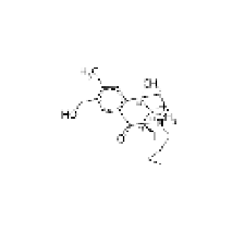 Cc1cc2c(cc1CO)C(=O)[C@@H]1[C@H](C)[C@]2(C)CCN1CC1CC1